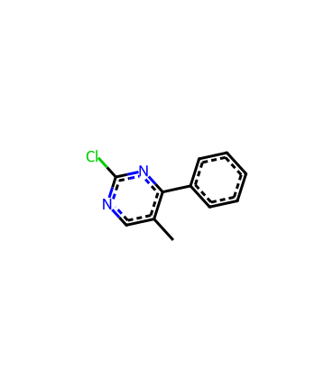 Cc1cnc(Cl)nc1-c1ccccc1